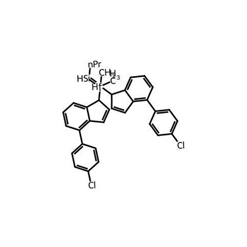 CCC[SiH]=[Hf]([CH3])([CH3])([CH]1C=Cc2c(-c3ccc(Cl)cc3)cccc21)[CH]1C=Cc2c(-c3ccc(Cl)cc3)cccc21